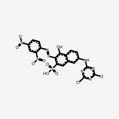 O=[N+]([O-])c1ccc(N=Nc2c(S(=O)(=O)O)cc3cc(Nc4nc(Cl)nc(Cl)n4)ccc3c2O)c([N+](=O)[O-])c1